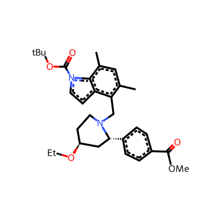 CCO[C@H]1CCN(Cc2c(C)cc(C)c3c2ccn3C(=O)OC(C)(C)C)[C@H](c2ccc(C(=O)OC)cc2)C1